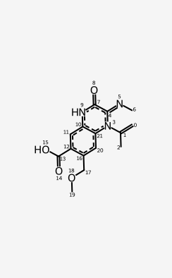 C=C(C)n1/c(=N\C)c(=O)[nH]c2cc(C(=O)O)c(COC)cc21